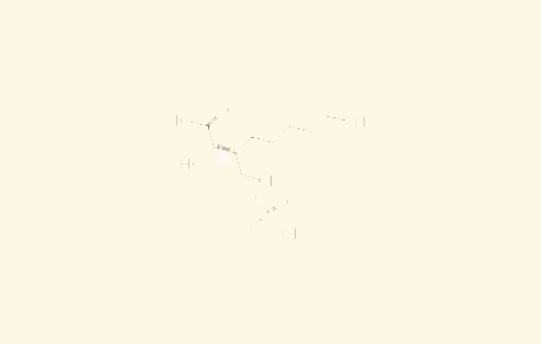 CCCCCC/C(CC)=C(/O)C(=O)O.O=P(O)(O)O